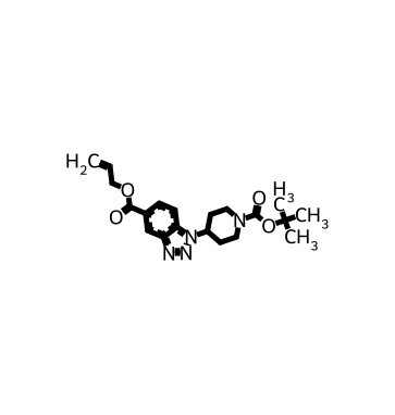 C=CCOC(=O)c1ccc2c(c1)nnn2C1CCN(C(=O)OC(C)(C)C)CC1